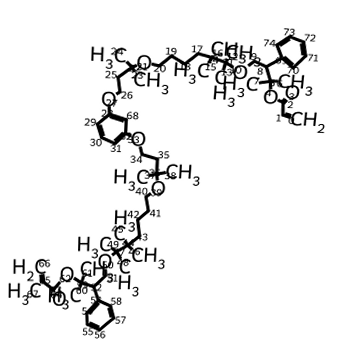 C=CC(=O)OC(C)(C)C(COC(C)(C)C(C)(C)CCCCOC(C)(C)CCOc1cccc(OCCC(C)(C)OCCCCC(C)(C)C(C)(C)OCC(c2ccccc2)C(C)(C)OC(=O)C(=C)C)c1)c1ccccc1